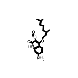 CC(C)=CCCC(C)=CCOc1c(OC=O)c(=O)[nH]c2cc(N)ccc12